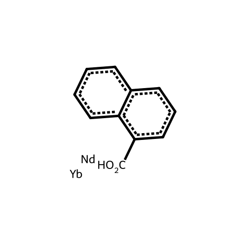 O=C(O)c1cccc2ccccc12.[Nd].[Yb]